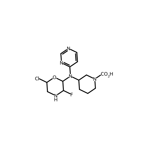 O=C(O)N1CCCC(N(c2ccncn2)C2OC(Cl)CNC2F)C1